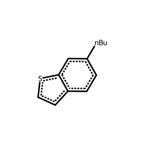 [CH2]CCCc1ccc2ccsc2c1